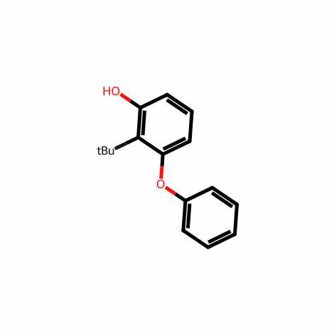 CC(C)(C)c1c(O)cccc1Oc1ccccc1